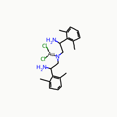 Cc1cccc(C)c1C(N)C[N](CC(N)c1c(C)cccc1C)[Au]([Cl])[Cl]